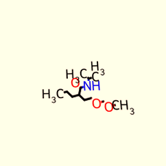 CCCC(CCOCOC)C(=O)NC(C)C